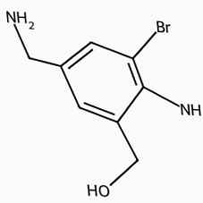 NCc1cc(Br)c(N)c(CO)c1